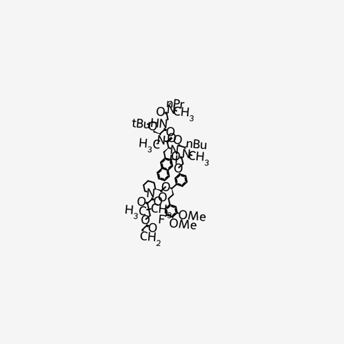 C=CC(=O)OCC(C)(C)C(=O)C(=O)N1CCCC[C@H]1C(=O)O[C@H](CCc1cc(F)c(OC)c(OC)c1)c1cccc(OCC(=O)N(C)[C@@H](CCCC)C(=O)N[C@@H](Cc2ccc3ccccc3c2)C(=O)N(C)[C@@H](COC(C)(C)C)C(=O)NCC(=O)N(C)CCC)c1